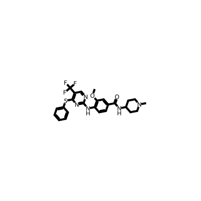 COc1cc(C(=O)NC2CCN(C)CC2)ccc1Nc1ncc(C(F)(F)F)c(Sc2ccccc2)n1